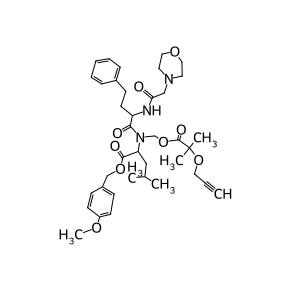 C#CCOC(C)(C)C(=O)OCN(C(=O)C(CCc1ccccc1)NC(=O)CN1CCOCC1)C(CC(C)C)C(=O)OCc1ccc(OC)cc1